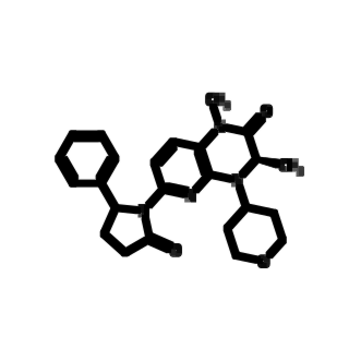 C[C@@H]1C(=O)N(C)c2ccc(N3C(=O)CCC3c3ccccc3)nc2N1C1CCOCC1